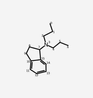 CCCN(CCC)C1CCc2ccccc21